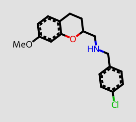 COc1ccc2c(c1)OC(CNCc1ccc(Cl)cc1)CC2